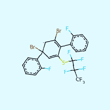 Fc1ccccc1C1=C(Br)[CH]C(Br)(c2ccccc2F)C=C1SC(F)(F)C(F)(F)C(F)(F)F